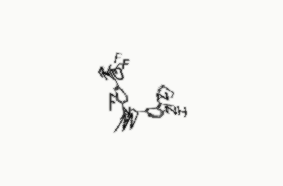 Fc1cc(-c2nnc(C(F)F)o2)ccc1Cn1cc(-c2ccc3[nH]cc(CN4CCCC4)c3c2)nn1